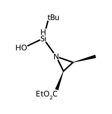 CCOC(=O)[C@@H]1[C@H](C)N1[SiH](O)C(C)(C)C